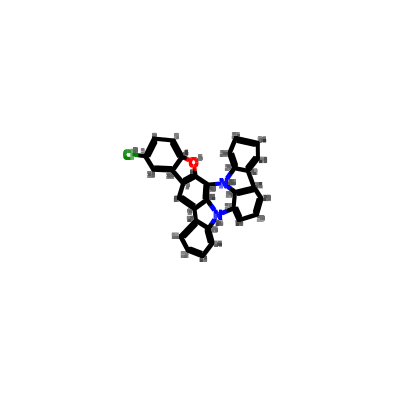 Clc1ccc2oc3c(cc4c5ccccc5n5c6cccc7c8ccccc8n(c76)c3c45)c2c1